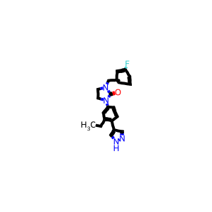 CCc1cc(N2CCN(Cc3cccc(F)c3)C2=O)ccc1-c1cn[nH]c1